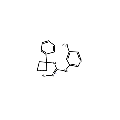 N#C/N=C(/Nc1cncc(N)c1)NC1(c2ccccc2)CCC1